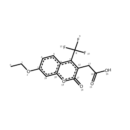 CCOc1ccc2c(C(F)(F)F)c(CC(=O)O)c(=O)oc2c1